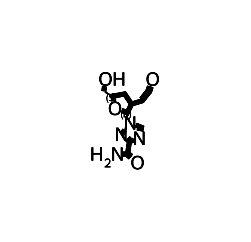 NC(=O)c1ncn([C@@H]2O[C@H](CO)CC2C=C=O)n1